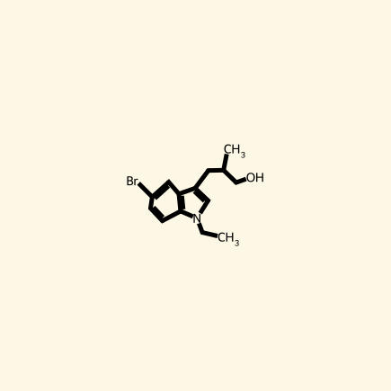 CCn1cc(CC(C)CO)c2cc(Br)ccc21